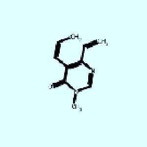 C=Cc1ncn(C)c(=O)c1/C=C\C